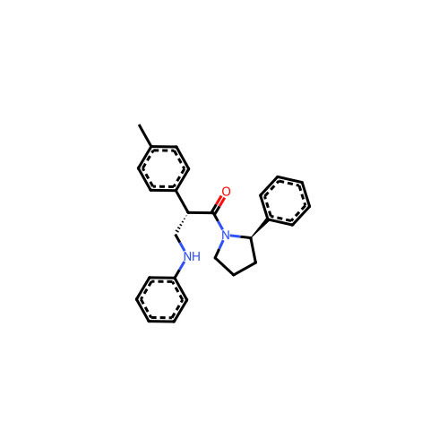 Cc1ccc([C@@H](CNc2ccccc2)C(=O)N2CCC[C@@H]2c2ccccc2)cc1